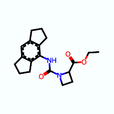 CCOC(=O)C1CCN1C(=O)Nc1c2c(cc3c1CCC3)CCC2